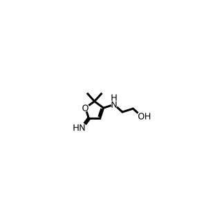 CC1(C)OC(=N)C=C1NCCO